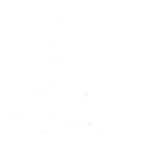 CCC1CN(Cc2ccccc2)Cc2sc3nc(CN(CC)CC)c(C(=O)O)c(-c4ccc(OC)c(OC)c4)c3c21